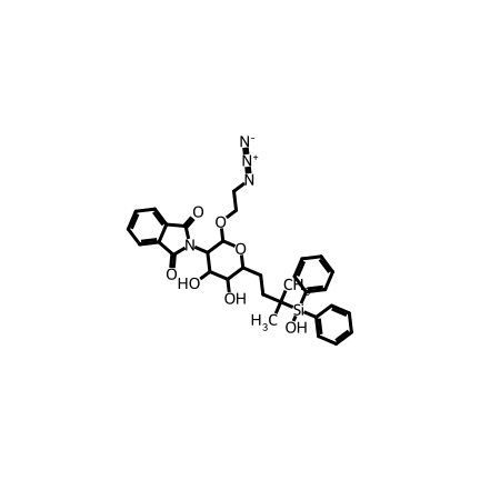 CC(C)(CCC1OC(OCCN=[N+]=[N-])C(N2C(=O)c3ccccc3C2=O)C(O)C1O)[Si](O)(c1ccccc1)c1ccccc1